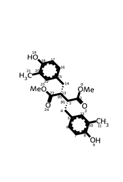 COC(=O)[C@H](Cc1ccc(O)c(C)c1)[C@@H](Cc1ccc(O)c(C)c1)C(=O)OC